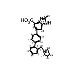 Cc1nc2c(C(=O)O)cc(-c3ccc(-c4ccccc4CN4CCCC4)cc3)cc2[nH]1